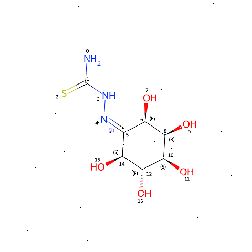 NC(=S)N/N=C1\[C@@H](O)[C@@H](O)[C@@H](O)[C@H](O)[C@H]1O